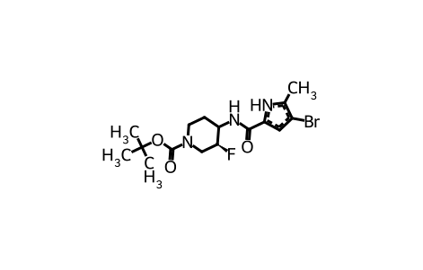 Cc1[nH]c(C(=O)NC2CCN(C(=O)OC(C)(C)C)C[C@@H]2F)cc1Br